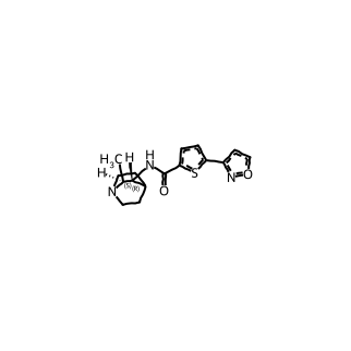 C[C@H]1[C@H](NC(=O)c2ccc(-c3ccon3)s2)C2CCN1CC2